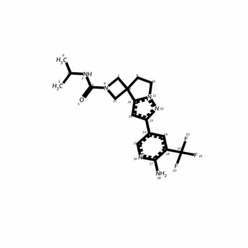 CC(C)NC(=O)N1CC2(CCn3nc(-c4cnc(N)c(C(F)(F)F)c4)cc32)C1